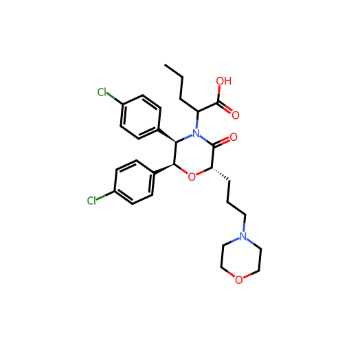 CCCC(C(=O)O)N1C(=O)[C@H](CCCN2CCOCC2)O[C@@H](c2ccc(Cl)cc2)[C@H]1c1ccc(Cl)cc1